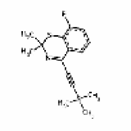 CC1(C)N=C(C#C[Si](C)(C)C)c2cccc(F)c2S1